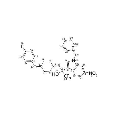 O=[N+]([O-])c1ccc2c(C(O)(CN3CCC(Oc4ccc(F)cc4)CC3)C(F)(F)F)cn(Cc3ccccc3)c2c1